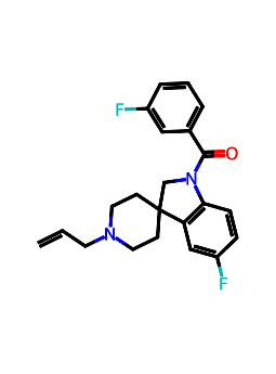 C=CCN1CCC2(CC1)CN(C(=O)c1cccc(F)c1)c1ccc(F)cc12